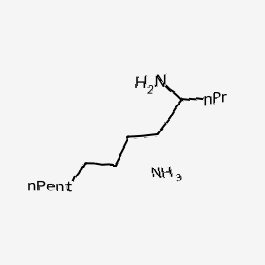 CCCCCCCCCC(N)CCC.N